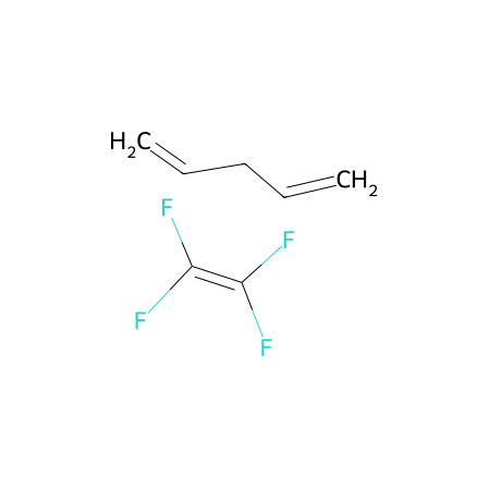 C=CCC=C.FC(F)=C(F)F